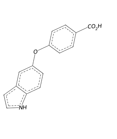 O=C(O)c1ccc(Oc2ccc3[nH]ccc3c2)cc1